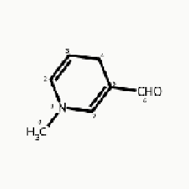 CN1C=CCC(C=O)=C1